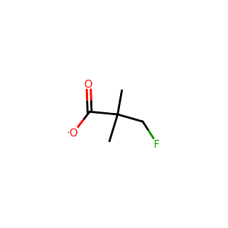 CC(C)(CF)C([O])=O